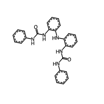 O=C(Nc1ccccc1)Nc1ccccc1Nc1ccccc1NC(=O)Nc1ccccc1